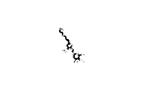 C=CCOC/C=C/C1CC(=C)[C@H](CC[C@H]2C[C@@H](C)C(=C)C(C)O2)O1